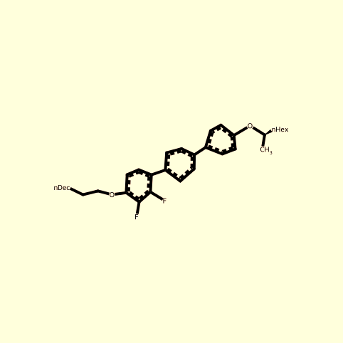 CCCCCCCCCCCCOc1ccc(-c2ccc(-c3ccc(O[C@H](C)CCCCCC)cc3)cc2)c(F)c1F